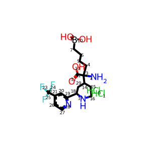 Cl.Cl.NC(CCCCB(O)O)(C(=O)O)C1CCNC(c2cc(C(F)(F)F)ccn2)C1